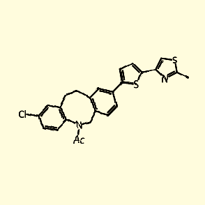 CC(=O)N1Cc2ccc(-c3ccc(-c4csc(C)n4)s3)cc2CCc2cc(Cl)ccc21